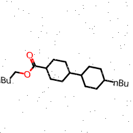 CCCCC1CCC(C2CCC(C(=O)OCC(C)CC)CC2)CC1